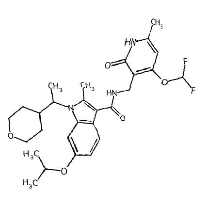 Cc1cc(OC(F)F)c(CNC(=O)c2c(C)n(C(C)C3CCOCC3)c3cc(OC(C)C)ccc23)c(=O)[nH]1